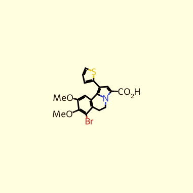 COc1cc2c(c(Br)c1OC)CCn1c(C(=O)O)cc(-c3cccs3)c1-2